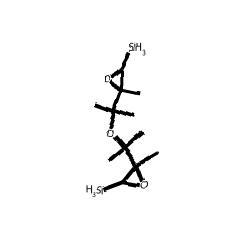 CC(C)(OC(C)(C)C1(C)OC1[SiH3])C1(C)OC1[SiH3]